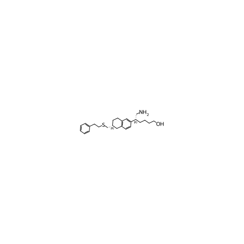 NC[C@H](CCCCO)c1ccc2c(c1)CC[C@@H](CSCCc1ccccc1)C2